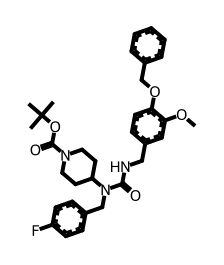 COc1cc(CNC(=O)N(Cc2ccc(F)cc2)C2CCN(C(=O)OC(C)(C)C)CC2)ccc1OCc1ccccc1